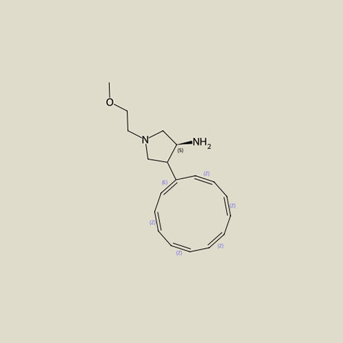 COCCN1CC(C2=C/C=C\C=C/C=C\C=C/C=C\2)[C@H](N)C1